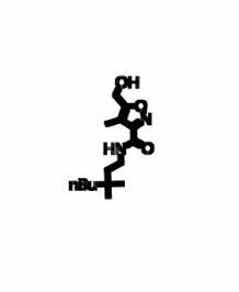 CCCCC(C)(C)CCNC(=O)c1noc(CO)c1C